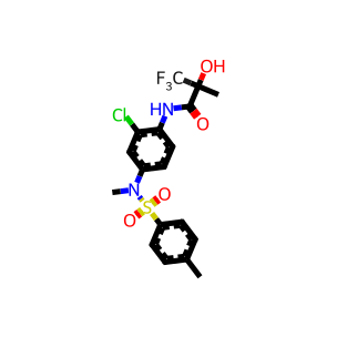 Cc1ccc(S(=O)(=O)N(C)c2ccc(NC(=O)C(C)(O)C(F)(F)F)c(Cl)c2)cc1